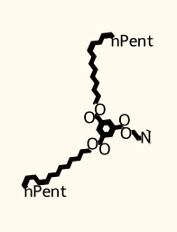 CCCCC/C=C\C/C=C\CCCCCCCCOC(=O)c1cc(C(=O)OCCCCCCCC/C=C\C/C=C\CCCCC)cc(C(=O)OCCN(C)C)c1